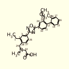 CCc1cc(-c2noc(-c3ccc(-c4ccccc4C)c(COC)c3)n2)ccc1CN(C)CC(=O)O